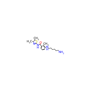 Cc1c(NCCCCCCN)cccc1C(=O)NC1=NC(C)C(C)S1